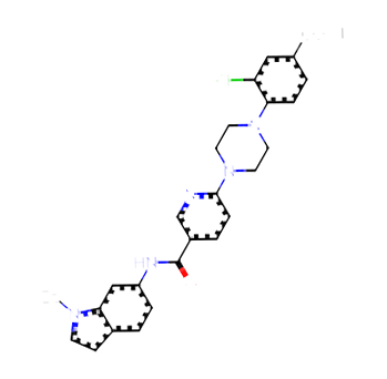 CCn1ccc2ccc(NC(=O)c3ccc(N4CCN(c5ccc(C(=O)O)cc5Cl)CC4)nc3)cc21